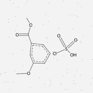 COC(=O)c1cccc(OC)c1.O=S(=O)(O)Cl